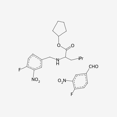 CC(C)CC(NCc1ccc(F)c([N+](=O)[O-])c1)C(=O)OC1CCCC1.O=Cc1ccc(F)c([N+](=O)[O-])c1